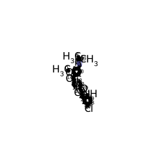 COc1cc(/C=N/N(C)C)ccc1C(=O)N1CCN(S(=O)(=O)c2cc3cc(Cl)ccc3[nH]2)CC1